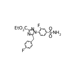 CCOC(=O)c1nc(Cc2ccc(F)cc2)n(-c2ccc(S(N)(=O)=O)cc2F)n1